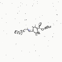 CCOC(=O)/C=C/c1ccc(C(=O)OC(C)(C)C)nc1